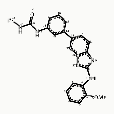 COc1ccccc1Nc1nc2ccc(-c3cccc(NC(=O)NC(C)C)c3)cn2n1